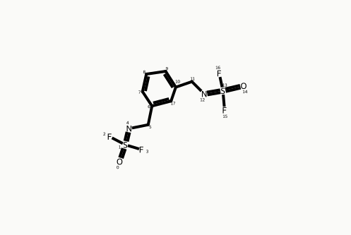 O=S(F)(F)=NCc1cccc(CN=S(=O)(F)F)c1